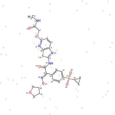 CNC(=O)COc1ccc2nc(NC(=O)/C(=N/O[C@@H]3CCOC3)c3ccc(S(=O)(=O)C4CC4)cc3)sc2n1